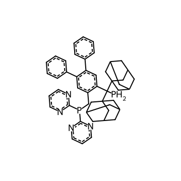 PC(c1cc(-c2ccccc2)c(-c2ccccc2)cc1CP(c1ncccn1)c1ncccn1)(C12CC3CC(CC(C3)C1)C2)C12CC3CC(CC(C3)C1)C2